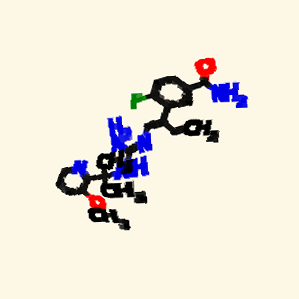 C=C/C(=C\N=C(/N)NC(C)(C)c1ncccc1OC)c1cc(C(N)=O)ccc1F